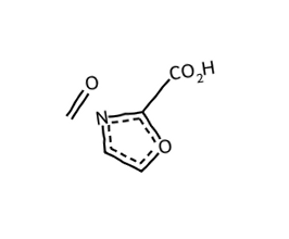 C=O.O=C(O)c1ncco1